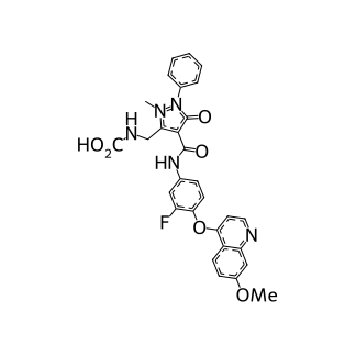 COc1ccc2c(Oc3ccc(NC(=O)c4c(CNC(=O)O)n(C)n(-c5ccccc5)c4=O)cc3F)ccnc2c1